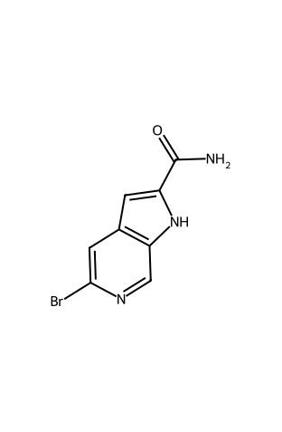 NC(=O)c1cc2cc(Br)ncc2[nH]1